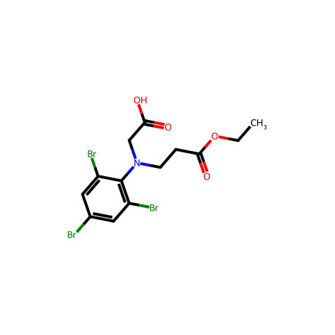 CCOC(=O)CCN(CC(=O)O)c1c(Br)cc(Br)cc1Br